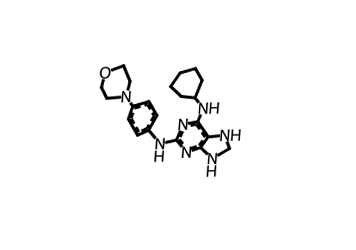 c1cc(N2CCOCC2)ccc1Nc1nc2c(c(NC3CCCCC3)n1)NCN2